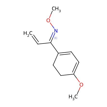 C=C/C(=N\OC)C1=CC=C(OC)CC1